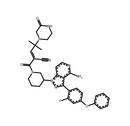 CC(C)(C=C(C#N)C(=O)N1CCCC(n2nc(-c3ccc(Oc4ccccc4)cc3F)c3c(N)nccc32)C1)N1CCNC(=O)C1